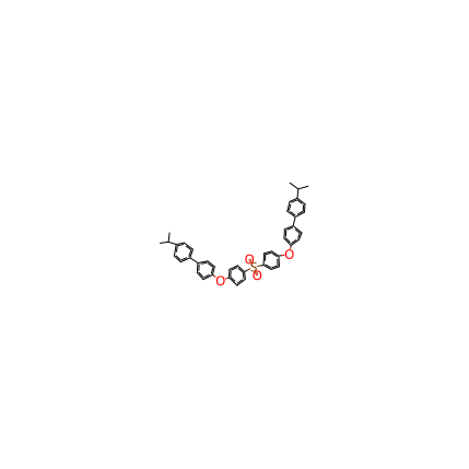 CC(C)c1ccc(-c2ccc(Oc3ccc(S(=O)(=O)c4ccc(Oc5ccc(-c6ccc(C(C)C)cc6)cc5)cc4)cc3)cc2)cc1